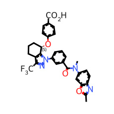 Cc1nc2ccc(N(C)C(=O)c3cccc(-n4nc(C(F)(F)F)c5c4[C@@H](Oc4ccc(C(=O)O)cc4)CCC5)c3)cc2o1